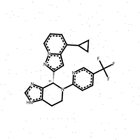 FC(F)(F)c1ccc(N2CCc3[nH]cnc3[C@@H]2c2cc3c(C4CC4)cccn3n2)nc1